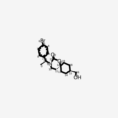 C[C@@H](c1ccc(Br)cc1)N1CC[C@]2(CC[C@H](CO)CC2)OC1=O